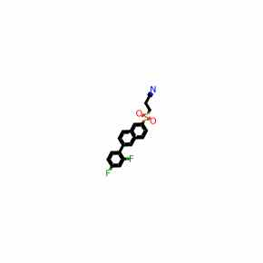 N#CCCS(=O)(=O)c1ccc2cc(-c3ccc(F)cc3F)ccc2c1